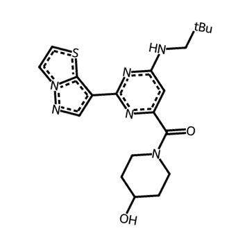 CC(C)(C)CNc1cc(C(=O)N2CCC(O)CC2)nc(-c2cnn3ccsc23)n1